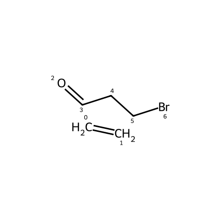 C=C.O=CCCBr